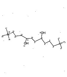 C[N+](C)(C)CCCC(O)CCC(O)CCC[N+](C)(C)C